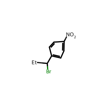 CCC(Br)c1ccc([N+](=O)[O-])cc1